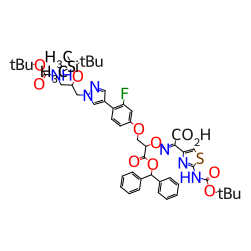 CC(C)(C)OC(=O)NCC(Cn1cc(-c2ccc(OCC(O/N=C(\C(=O)O)c3csc(NC(=O)OC(C)(C)C)n3)C(=O)OC(c3ccccc3)c3ccccc3)cc2F)cn1)O[Si](C)(C)C(C)(C)C